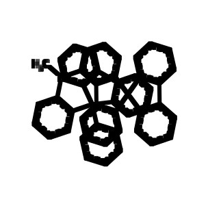 CN(c1ccccc1C1(c2ccccc2)c2ccccc2-c2ccccc21)c1cccc2c1-c1ccccc1C21c2ccccc2-c2ccccc21